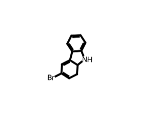 BrC1=CCC2Nc3ccccc3C2=C1